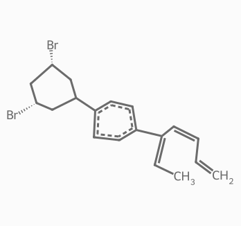 C=C/C=C\C(=C/C)c1ccc(C2C[C@@H](Br)C[C@@H](Br)C2)cc1